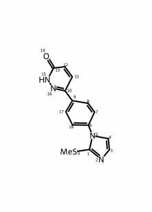 CSc1nccn1-c1ccc(-c2ccc(=O)[nH]n2)cc1